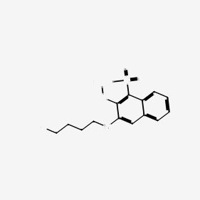 CCCCCNc1cc2ccccc2c(S(=O)(=O)Cl)c1OC